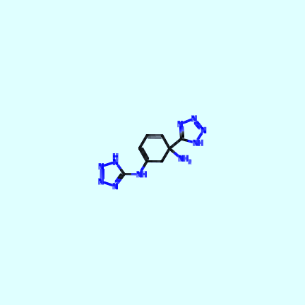 NC1(c2nnn[nH]2)C=CC=C(Nc2nnn[nH]2)C1